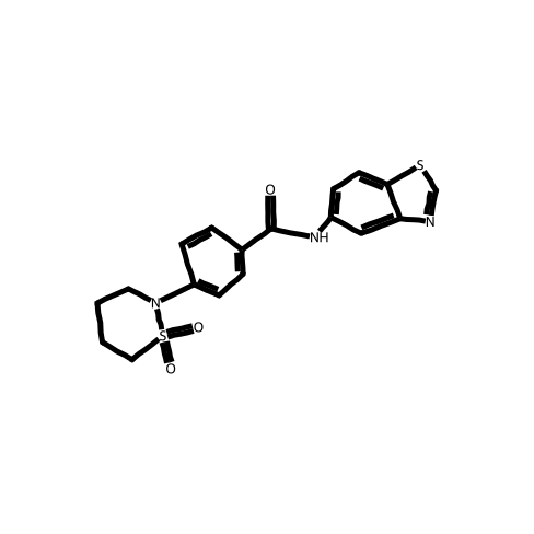 O=C(Nc1ccc2scnc2c1)c1ccc(N2CCCCS2(=O)=O)cc1